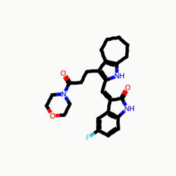 O=C1Nc2ccc(F)cc2/C1=C/c1[nH]c2c(c1CCC(=O)N1CCOCC1)CCCCC2